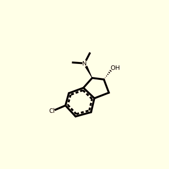 CN(C)[C@@H]1c2cc(Cl)ccc2C[C@H]1O